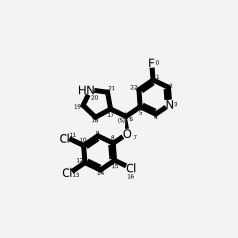 Fc1cncc([C@@H](Oc2cc(Cl)c(Cl)cc2Cl)C2CCNC2)c1